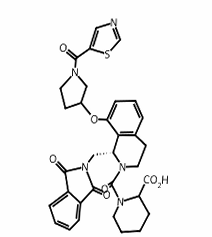 O=C(O)C1CCCCN1C(=O)N1CCc2cccc(OC3CCN(C(=O)c4cncs4)C3)c2[C@H]1CN1C(=O)c2ccccc2C1=O